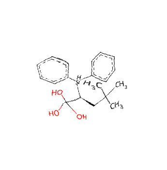 CC(C)(C)C[C@H]([SiH](c1ccccc1)c1ccccc1)C(O)(O)O